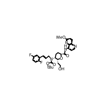 COc1ccc2nccc(NC(=O)[C@@H]3CC[C@@H](N(CC=Cc4cc(F)ccc4F)C(=O)OC(C)(C)C)[C@@H](CCO)O3)c2n1